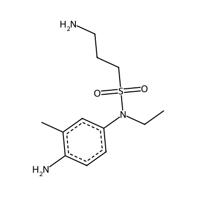 CCN(c1ccc(N)c(C)c1)S(=O)(=O)CCCN